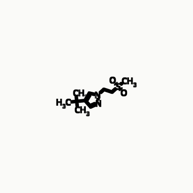 CC(C)(C)c1cnn(CCS(C)(=O)=O)c1